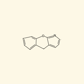 [c]1ccc2c(n1)Oc1ccccc1C2